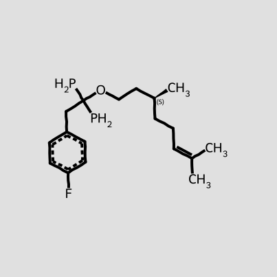 CC(C)=CCC[C@H](C)CCOC(P)(P)Cc1ccc(F)cc1